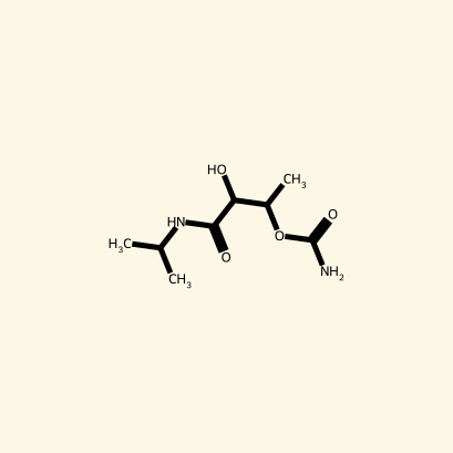 CC(C)NC(=O)C(O)C(C)OC(N)=O